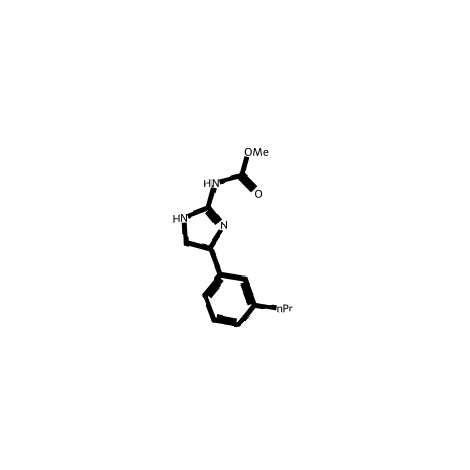 CCCc1cccc(C2CNC(NC(=O)OC)=N2)c1